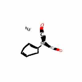 O=[C]=[Fe](=[C]=O)[C]1=CC=CC1.[Na]